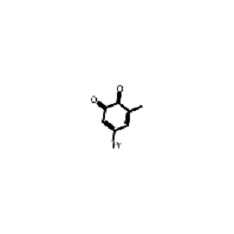 CC1=CC(C(C)C)=CC(=O)C1=O